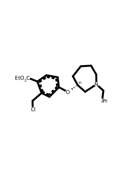 CCOC(=O)c1ccc(O[C@@H]2CCCCN(CC(C)C)C2)cc1CCl